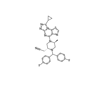 C[C@H]1CN(C(c2ccc(F)cc2)c2ccc(F)cc2)[C@H](CC#N)CN1c1nc2nnc(C3CC3)n2c2scnc12